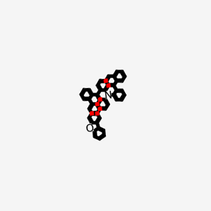 c1ccc(N(c2ccc(-c3ccc4oc5ccccc5c4c3)cc2)c2ccccc2-c2cc3ccccc3c3ccccc23)c(-c2cccc3ccccc23)c1